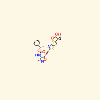 Cc1noc(C#Cc2nc3sc(C4(C(=O)O)CC4)cc3s2)c1NC(=O)O[C@H](C)c1ccccc1